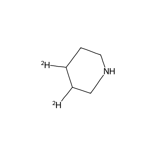 [2H]C1CCNCC1[2H]